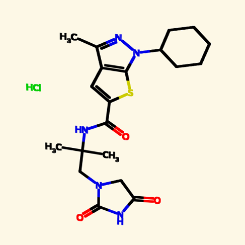 Cc1nn(C2CCCCC2)c2sc(C(=O)NC(C)(C)CN3CC(=O)NC3=O)cc12.Cl